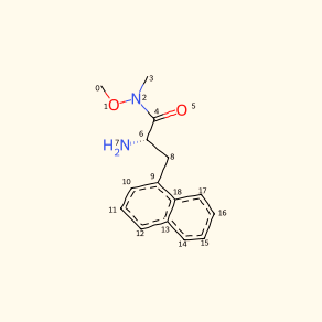 CON(C)C(=O)[C@@H](N)Cc1cccc2ccccc12